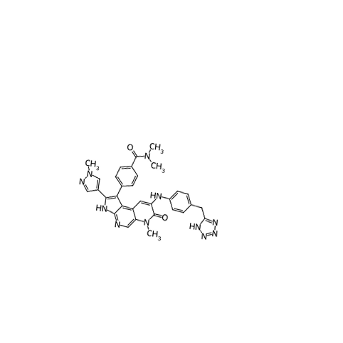 CN(C)C(=O)c1ccc(-c2c(-c3cnn(C)c3)[nH]c3ncc4c(cc(Nc5ccc(Cc6nnn[nH]6)cc5)c(=O)n4C)c23)cc1